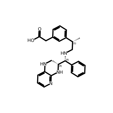 C[C@H](CN[C@H](c1ccccc1)[C@H]1CNc2cccnc2N1)c1cccc(CC(=O)O)c1